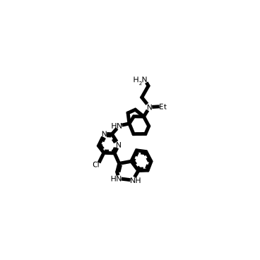 CCN(CCN)C12CCCC(Nc3ncc(Cl)c(C4=CNNc5ccccc54)n3)(CC1)C2